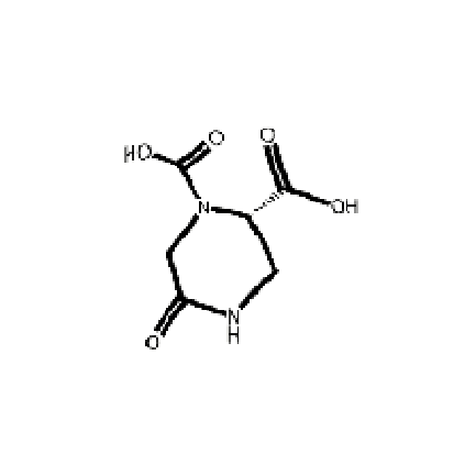 O=C1CN(C(=O)O)[C@H](C(=O)O)CN1